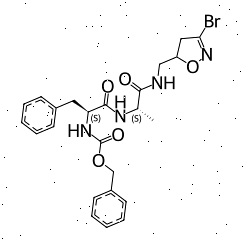 C[C@H](NC(=O)[C@H](Cc1ccccc1)NC(=O)OCc1ccccc1)C(=O)NCC1CC(Br)=NO1